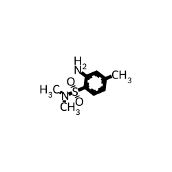 Cc1ccc(S(=O)(=O)N(C)C)c(N)c1